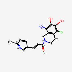 Nc1c(O)c(O)c(Cl)c2c1CN(C(=O)/C=C/c1ccc(C(F)(F)F)nc1)CC2